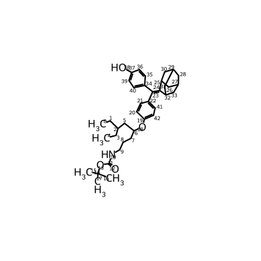 CCC(CC)CC(CCCNC(=O)OC(C)(C)C)Oc1ccc(C(=C2C3CC4CC(C3)CC2C4)c2ccc(O)cc2)cc1